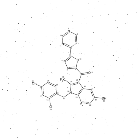 O=C(c1cnc(-c2ccncn2)o1)c1c(C(F)(F)F)n(Cc2ccc(Cl)cc2Cl)c2ccc(O)cc12